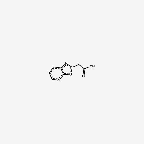 O=C(O)Cc1nc2cccnc2o1